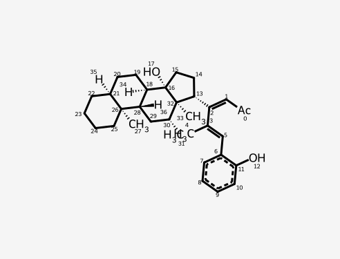 CC(=O)/C=C(\C(C)=C\c1ccccc1O)[C@H]1CC[C@]2(O)[C@@H]3CC[C@@H]4CCCC[C@]4(C)[C@H]3C[C@@H](C)[C@]12C